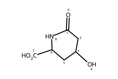 O=C1CC(O)CC(C(=O)O)N1